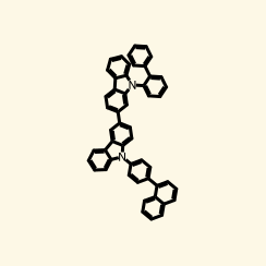 c1ccc(-c2ccccc2-n2c3ccccc3c3ccc(-c4ccc5c(c4)c4ccccc4n5-c4ccc(-c5cccc6ccccc56)cc4)cc32)cc1